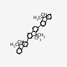 CC1(C)c2ccccc2-c2ccc(-c3ccc4c(c3)C(C)(C(F)(F)F)c3cc(-c5ccc6c(c5)C(C)(C)c5ccccc5-6)ccc3-4)cc21